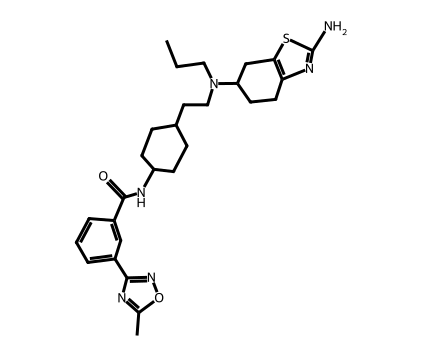 CCCN(CCC1CCC(NC(=O)c2cccc(-c3noc(C)n3)c2)CC1)C1CCc2nc(N)sc2C1